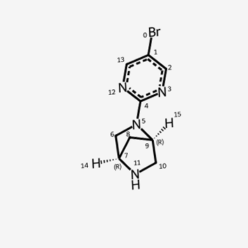 Brc1cnc(N2C[C@H]3C[C@@H]2CN3)nc1